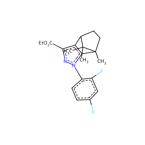 CCOC(=O)c1nn(-c2ccc(F)cc2F)c2c1C1CCC2(C)C1(C)C